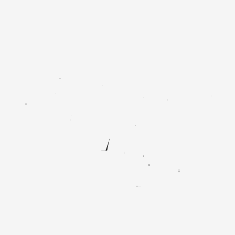 C[C@@H](CCCO)[C@@H](O[Si](C)(C)C(C)(C)C)C(CCCCCl)C1OCCO1